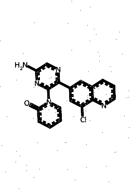 Nc1cnc(-c2cc(Cl)c3ncccc3c2)c(-n2ccccc2=O)n1